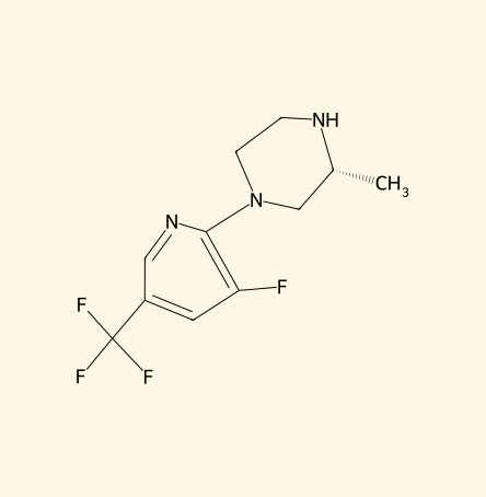 C[C@@H]1CN(c2ncc(C(F)(F)F)cc2F)CCN1